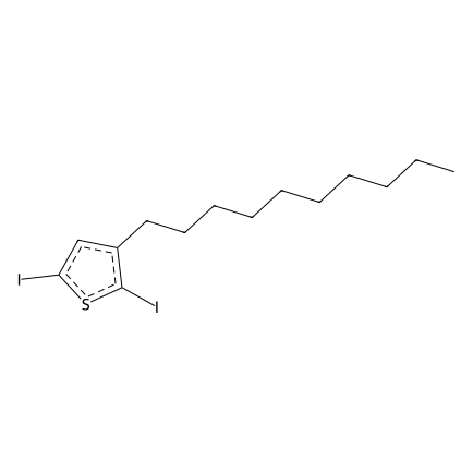 CCCCCCCCCCc1cc(I)sc1I